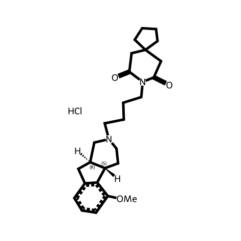 COc1cccc2c1[C@H]1CCN(CCCCN3C(=O)CC4(CCCC4)CC3=O)C[C@@H]1C2.Cl